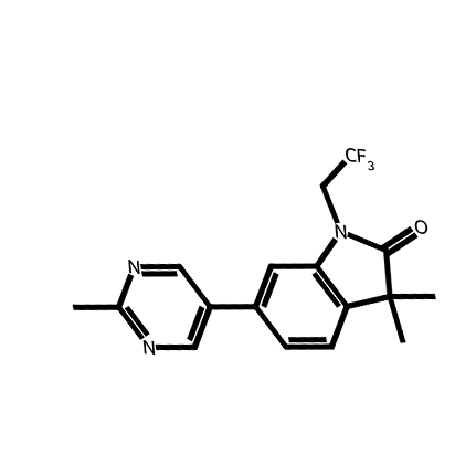 Cc1ncc(-c2ccc3c(c2)N(CC(F)(F)F)C(=O)C3(C)C)cn1